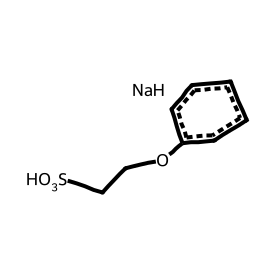 O=S(=O)(O)CCOc1ccccc1.[NaH]